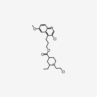 CCC1CC(C(=O)OCCCc2c(Cl)cnc3ccc(OC)cc23)CCN1CCCl